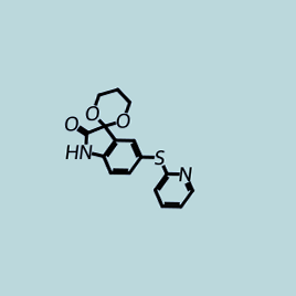 O=C1Nc2ccc(Sc3ccccn3)cc2C12OCCCO2